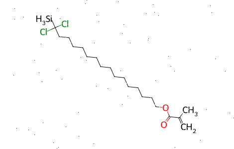 C=C(C)C(=O)OCCCCCCCCCCCCCCCC([SiH3])(Cl)Cl